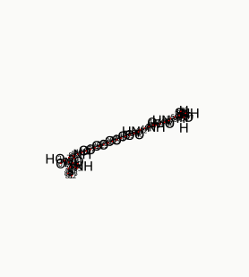 O=C(O)CCn1c2ccc(CNCCOCCOCCOCCOCCOCCOCCOCCOCCNC(=O)CCCCCNC(=O)CCCCCNC(=O)CCCC[C@@H]3SC[C@@H]4NC(=O)N[C@@H]43)cc2c2c3c(c4c(c21)Cc1ccccc1-4)CNC3=O